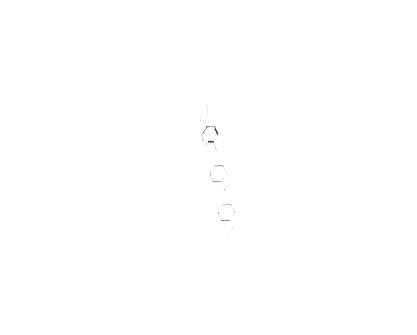 CCOc1ccc(CC[C@H]2CC[C@H](CC[C@H]3CC[C@H](CC)CC3)CC2)nc1